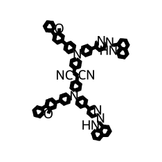 N#C/C(=C(/C#N)c1ccc(N(c2ccc(-c3ccc(/N=C4\Nc5cccc6cccc4c56)nc3)cc2)c2ccc(-c3ccc4c(c3)oc3ccccc34)cc2)cc1)c1ccc(N(c2ccc(-c3ccc(/N=C4\Nc5cccc6cccc4c56)nc3)cc2)c2ccc(-c3ccc4c(c3)oc3ccccc34)cc2)cc1